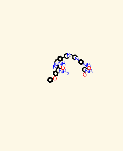 NC(=O)c1c(-c2ccc(Oc3ccccc3)cc2)nn2c1Nc1cc(C3CCN(CC4CCN(c5ccc(NC6CCC(=O)NC6=O)cc5)CC4)CC3)ccc1CC2